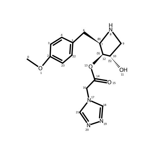 COc1ccc(C[C@H]2NC[C@H](O)[C@H]2OC(=O)Cn2cnnc2)cc1